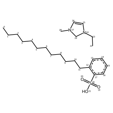 CCCCCCCCCCCCc1ccccc1S(=O)(=O)O.CCN1C=CN(C)C1